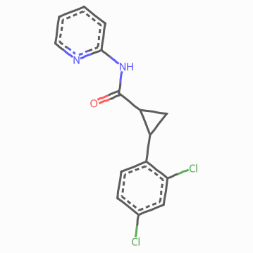 O=C(Nc1ccccn1)C1CC1c1ccc(Cl)cc1Cl